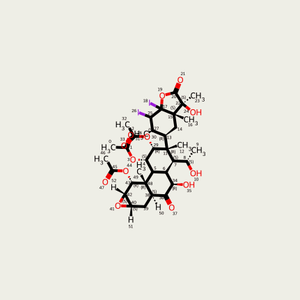 CC(=O)O[C@H]1C2C([C@H]([C@H](C)O)[C@@](C)([C@@H]3C[C@]4(C)C(I)(OC(=O)[C@@]4(C)O)C(I)[C@H]3C)[C@H]1OC(C)=O)[C@@H](O)C(=O)[C@H]1C[C@@H]3O[C@@H]3[C@H](OC(C)=O)[C@]21C